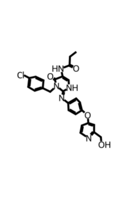 CCC(=O)Nc1c[nH]/c(=N\c2ccc(Oc3ccnc(CO)c3)cc2)n(Cc2ccc(Cl)cc2)c1=O